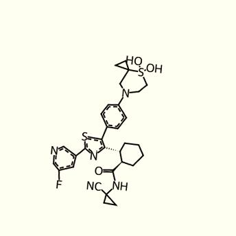 N#CC1(NC(=O)[C@@H]2CCCC[C@H]2c2nc(-c3cncc(F)c3)sc2-c2ccc(N3CCS(O)(O)C4(CC4)C3)cc2)CC1